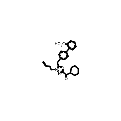 C=CCCn1nc(C(=O)C2CCCCC2)nc1Cc1ccc(-c2ccccc2C(=O)O)cc1